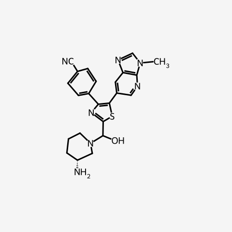 Cn1cnc2cc(-c3sc(C(O)N4CCC[C@@H](N)C4)nc3-c3ccc(C#N)cc3)cnc21